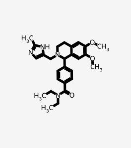 CCN(CC)C(=O)c1ccc(C2c3cc(OC)c(OC)cc3CCN2Cc2cnc(C)[nH]2)cc1